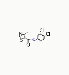 Cc1ncsc1C(=O)/C=C/c1ccc(Cl)c(Cl)c1